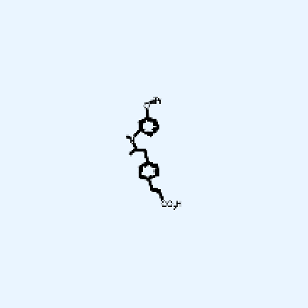 CC(C)Oc1cccc(N(C)C(C)Cc2ccc(/C=C/C(=O)O)cc2)c1